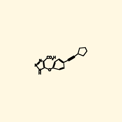 O=C(O)c1nn[nH]c1Oc1ccc(C#CC2CCCC2)cc1